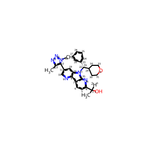 [2H]C(C)(O)c1ccc2c3ncc(-c4c(C)nnn4C)cc3n([C@H](c3ccccc3)C3CCOCC3)c2n1